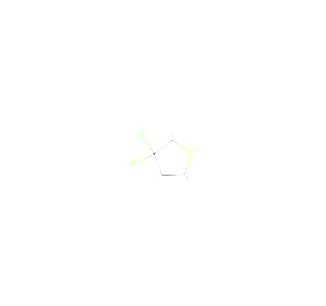 FC1(F)CCSC1